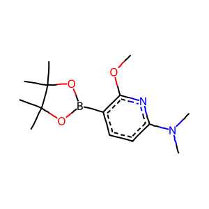 COc1nc(N(C)C)ccc1B1OC(C)(C)C(C)(C)O1